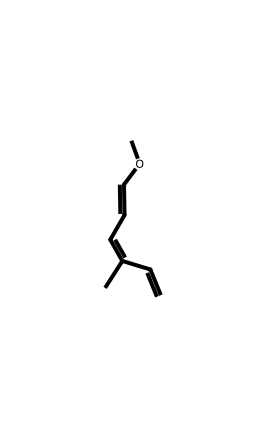 C=C/C(C)=C\C=C\OC